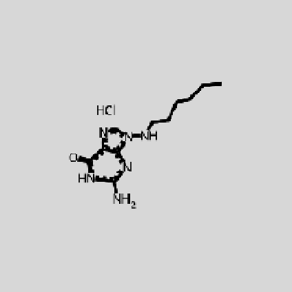 CCCCCCNn1cnc2c(=O)[nH]c(N)nc21.Cl